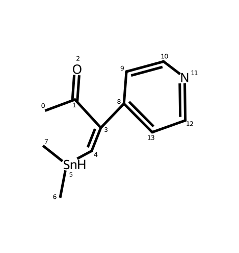 CC(=O)C(=[CH][SnH]([CH3])[CH3])c1ccncc1